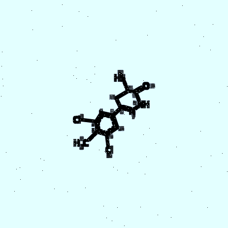 Cc1c(Cl)cc(C2=NNC(=O)C(S)C2)cc1Cl